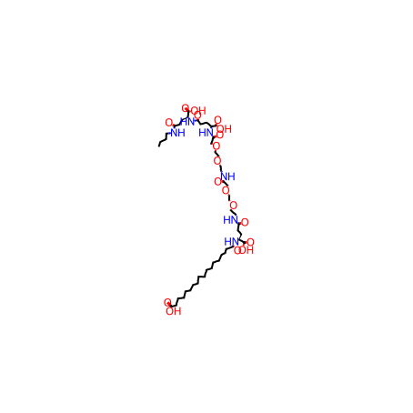 CCCCNC(=O)CC[C@H](NC(=O)CCC(NC(=O)COCCOCCNC(=O)COCCOCCNC(=O)CC[C@H](NC(=O)CCCCCCCCCCCCCCCCC(=O)O)C(=O)O)C(=O)O)C(=O)O